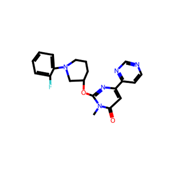 Cn1c(OC2CCCN(c3ccccc3F)C2)nc(-c2ccncn2)cc1=O